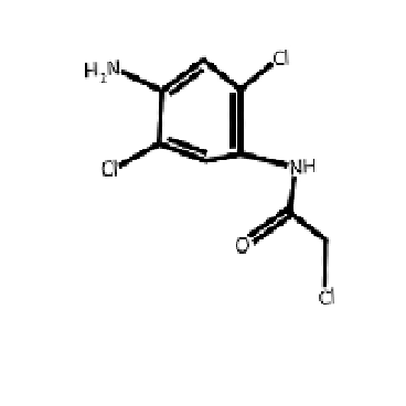 Nc1cc(Cl)c(NC(=O)CCl)cc1Cl